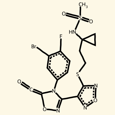 CS(=O)(=O)NC1(CCSc2nonc2C2=NOC(=C=O)N2c2ccc(F)c(Br)c2)CC1